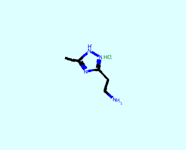 Cc1nc(CCN)n[nH]1.Cl